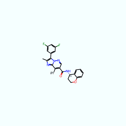 Cc1nc2c(C(C)C)c(C(=O)N[C@H]3CCOc4ccccc43)cnn2c1-c1cc(F)cc(F)c1